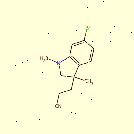 BN1CC(C)(CCC#N)c2ccc(Br)cc21